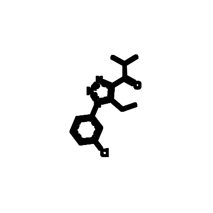 CCc1c(C(=O)C(C)C)nnn1-c1cccc(Cl)c1